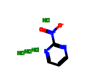 Cl.Cl.Cl.Cl.O=[N+]([O-])c1ncccn1